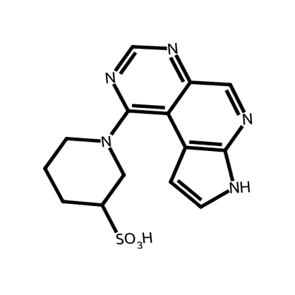 O=S(=O)(O)C1CCCN(c2ncnc3cnc4[nH]ccc4c23)C1